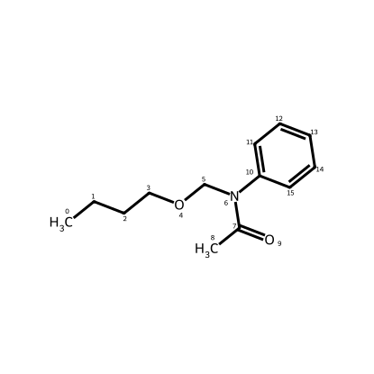 CCCCOCN(C(C)=O)c1ccccc1